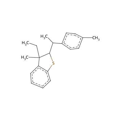 CCC1(C)c2ccccc2SC1C(C)c1ccc(C)cc1